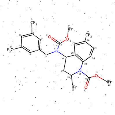 CC(C)OC(=O)N(Cc1cc(C(F)(F)F)cc(C(F)(F)F)c1)C1CC(C(C)C)N(C(=O)OC(C)C)c2ccc(C(F)(F)F)cc21